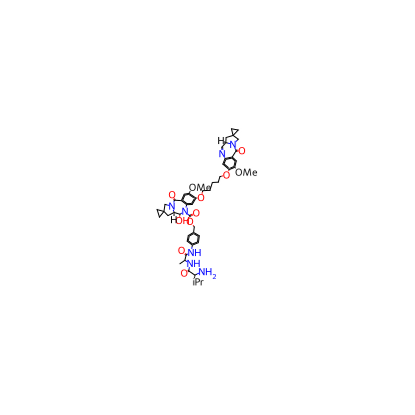 COc1cc2c(cc1OCCCCCOc1cc3c(cc1OC)C(=O)N1CC4(CC4)C[C@H]1C(O)N3C(=O)OCc1ccc(NC(=O)C(C)NC(=O)C(N)C(C)C)cc1)N=C[C@@H]1CC3(CC3)CN1C2=O